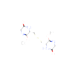 CCOC1=NCC(=O)N[C@H]1CSSC[C@H]1NC(=O)CN=C1OCC